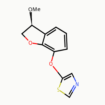 CO[C@@H]1COc2c(Oc3cncs3)cccc21